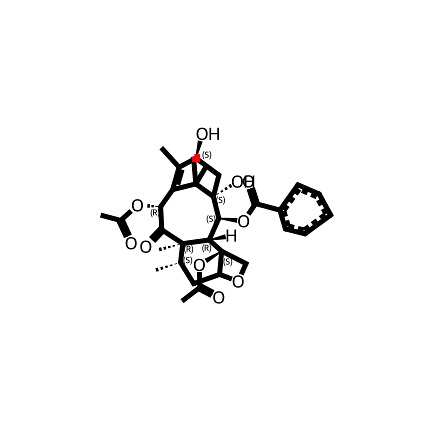 CC(=O)O[C@H]1C(=O)[C@]2(C)[C@@H](C)CC3OC[C@@]3(OC(C)=O)[C@H]2[C@H](OC(=O)c2ccccc2)[C@]2(O)C[C@H](O)C(C)=C1C2(C)C